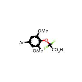 COc1cc(C(C)=O)cc(OC)c1OC(F)(F)C(=O)O